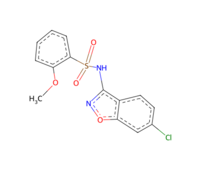 COc1ccccc1S(=O)(=O)Nc1noc2cc(Cl)ccc12